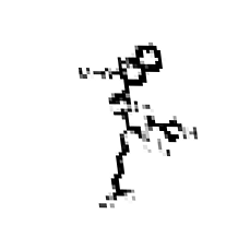 CCC(=O)CCCCC[C@@H](c1ncc(-c2cc3ccccc3nc2OC)o1)N(C)C(=O)C1CNC1